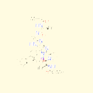 COC(=O)N[C@H](C(=O)N1CCC[C@H]1c1ncc(C2(c3cnc([C@@H]4CCCN4C(=O)[C@@H](NC(=O)OC)C(C)C)[nH]3)C=CC(c3ccccc3)=C(C(=O)O)C2)[nH]1)C(C)C